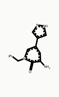 CC(C)Cn1cc(-c2cn[nH]c2)cc(N)c1=O